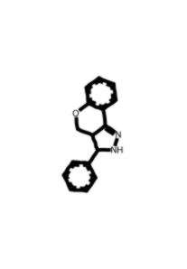 c1ccc(C2NN=C3c4ccccc4OCC32)cc1